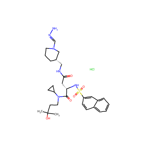 CC(C)(O)CCN(C(=O)[C@H](CC(=O)NC[C@@H]1CCCN(C=NN)C1)NS(=O)(=O)c1ccc2ccccc2c1)C1CC1.Cl